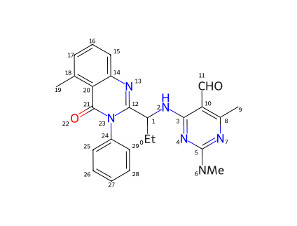 CCC(Nc1nc(NC)nc(C)c1C=O)c1nc2cccc(C)c2c(=O)n1-c1ccccc1